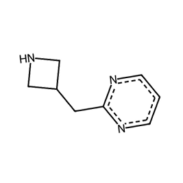 c1cnc(CC2CNC2)nc1